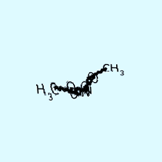 CCCCCC=CC(=O)Oc1ccc(-c2nnc(-c3ccc(OC(=O)C=CCCCCC)cc3)o2)cc1